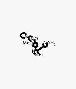 CCc1ncnc(-c2ccc(C(=O)N3CCC(N4CCCCCC4)CC3)c(OC)c2)c1C#Cc1ccc(N)nc1